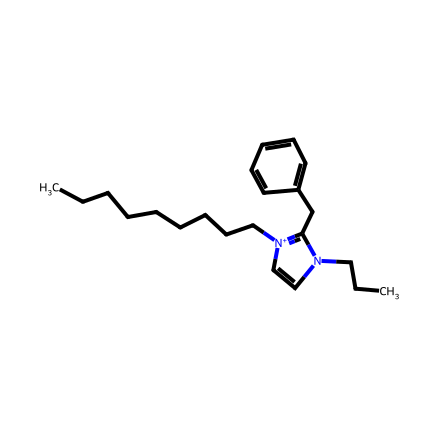 CCCCCCCCC[n+]1ccn(CCC)c1Cc1ccccc1